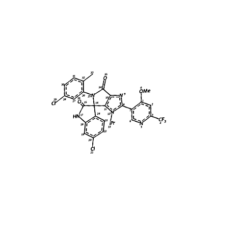 COc1cc(C(F)(F)F)ncc1-c1nc2c(n1C(C)C)C1(C(=O)Nc3cc(Cl)ccc31)N(c1cc(Cl)ccc1C)C2=O